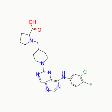 O=C(O)C1CCCN1CC1CCN(c2ncc3ncnc(Nc4ccc(F)c(Cl)c4)c3n2)CC1